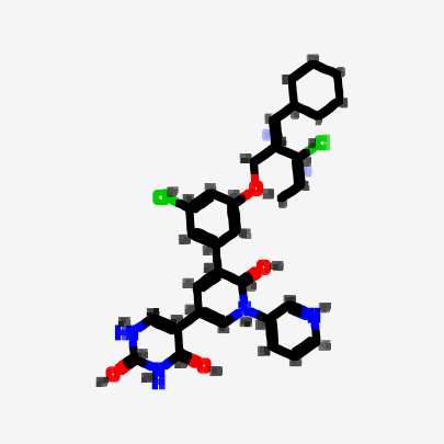 C/C=C(Cl)\C(=C/C1CCCCC1)COc1cc(Cl)cc(-c2cc(-c3c[nH]c(=O)[nH]c3=O)cn(-c3cccnc3)c2=O)c1